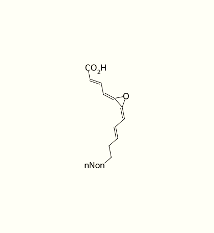 CCCCCCCCCCCC=CC=C1OC1=CC=CC(=O)O